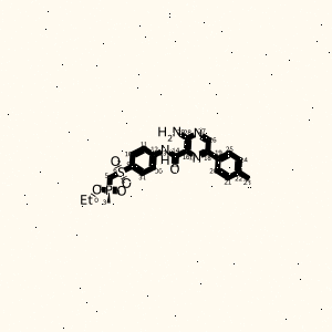 CCO[P@@](C)(=O)CS(=O)(=O)c1ccc(NC(=O)c2nc(-c3ccc(C)cc3)cnc2N)cc1